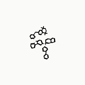 CC1(C)CCC(C)(C)c2cc(Cc3cccc(-n4c5ccccc5c5cc(N(c6ccc(-c7ccccc7)cc6)c6ccc7ccccc7c6)ccc54)c3)ccc21